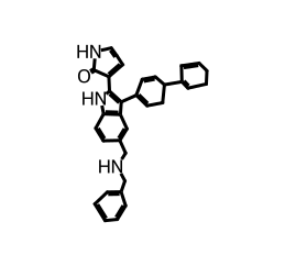 O=c1[nH]cccc1-c1[nH]c2ccc(CNCc3ccccc3)cc2c1C1=CCC(C2=CCCC=C2)C=C1